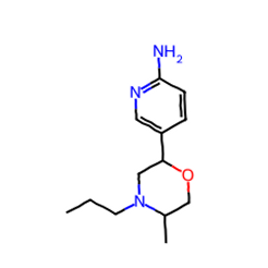 CCCN1CC(c2ccc(N)nc2)OCC1C